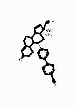 C#C[C@]1(O)C=CC2C3CCC4=CC(=O)CCC4C3[C@@H](c3ccc(-c4ccc(C#N)cc4)cc3)C[C@@]21C